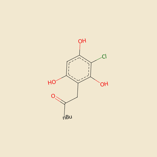 CCCCC(=O)Cc1c(O)cc(O)c(Cl)c1O